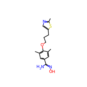 Cc1ncc(CCCOc2c(C)cc(C(N)=NO)cc2C)s1